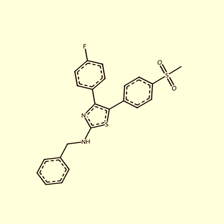 CS(=O)(=O)c1ccc(-c2sc(NCc3ccccc3)nc2-c2ccc(F)cc2)cc1